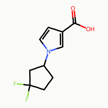 O=C(O)c1ccn(C2CCC(F)(F)C2)c1